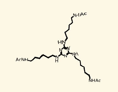 CC(=O)NCCCCCCNc1nc(NCCCCCCNC(C)=O)nc(NCCCCCCNC(C)=O)n1